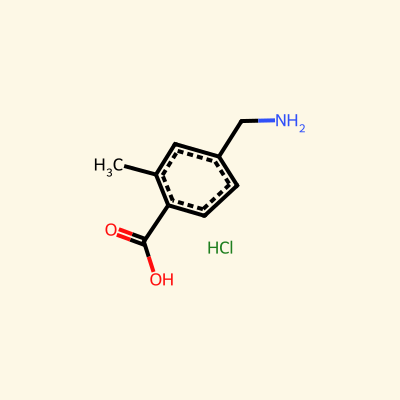 Cc1cc(CN)ccc1C(=O)O.Cl